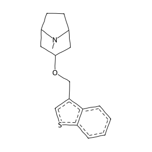 CN1C2CCC1CC(OCc1csc3ccccc13)C2